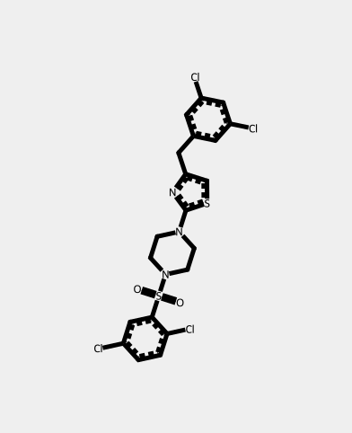 O=S(=O)(c1cc(Cl)ccc1Cl)N1CCN(c2nc(Cc3cc(Cl)cc(Cl)c3)cs2)CC1